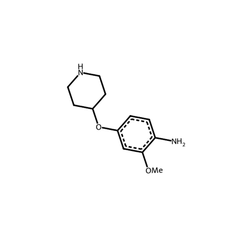 COc1cc(OC2CCNCC2)ccc1N